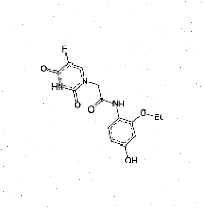 CCOc1cc(O)ccc1NC(=O)Cn1cc(F)c(=O)[nH]c1=O